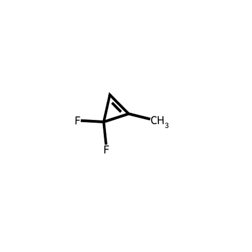 CC1=CC1(F)F